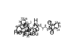 CC(C)C[C@H](NC(=O)CCCCN1C(=O)c2ccccc2C1=O)C(=O)N(SC(c1ccccc1)(c1ccccc1)c1ccccc1)[C@H](C(=O)O)C(C)(C)C